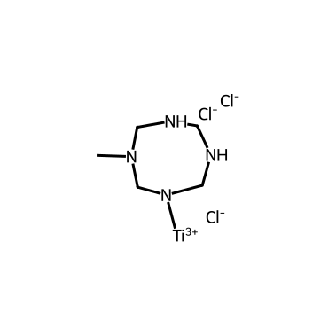 CN1CNCNC[N]([Ti+3])C1.[Cl-].[Cl-].[Cl-]